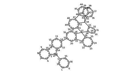 c1ccc(-n2c3ccccc3c3ccc(-c4ccc5c(c4)-c4ccccc4C54c5ccccc5C5(c6ccccc6)c6ccccc6-c6cccc4c65)cc32)cc1